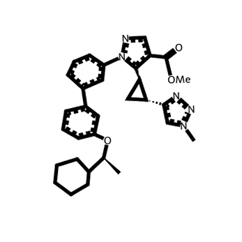 COC(=O)c1cnn(-c2cccc(-c3cccc(O[C@@H](C)C4CCCCC4)c3)c2)c1[C@@H]1C[C@H]1c1cn(C)nn1